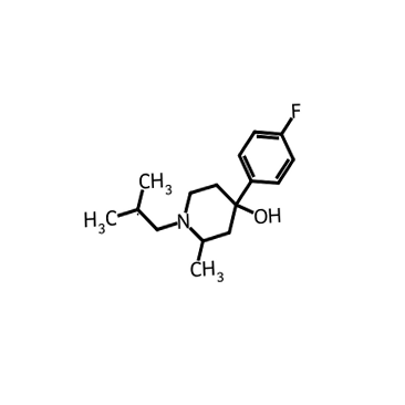 C[C](C)CN1CCC(O)(c2ccc(F)cc2)CC1C